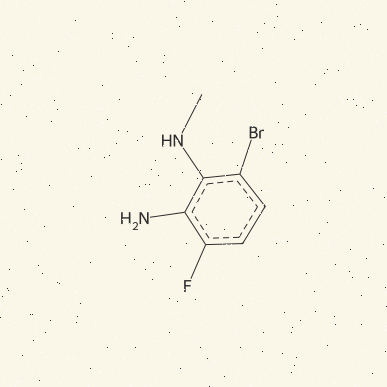 CNc1c(Br)ccc(F)c1N